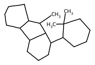 CC1C2CCCCC2C2CCCC(C3CCCCC3(C)C)C12